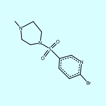 CN1CCN(S(=O)(=O)c2ccc(Br)nc2)CC1